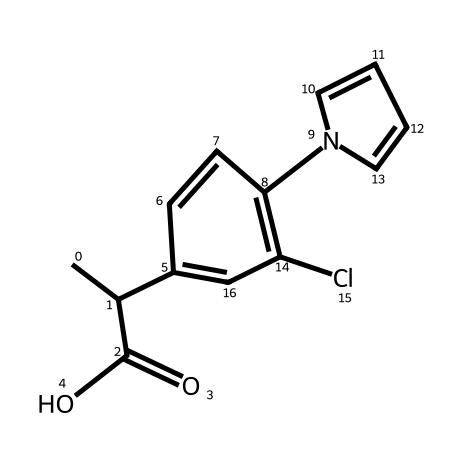 CC(C(=O)O)c1ccc(-n2cccc2)c(Cl)c1